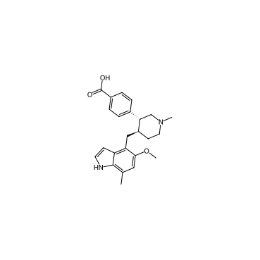 COc1cc(C)c2[nH]ccc2c1C[C@@H]1CCN(C)C[C@H]1c1ccc(C(=O)O)cc1